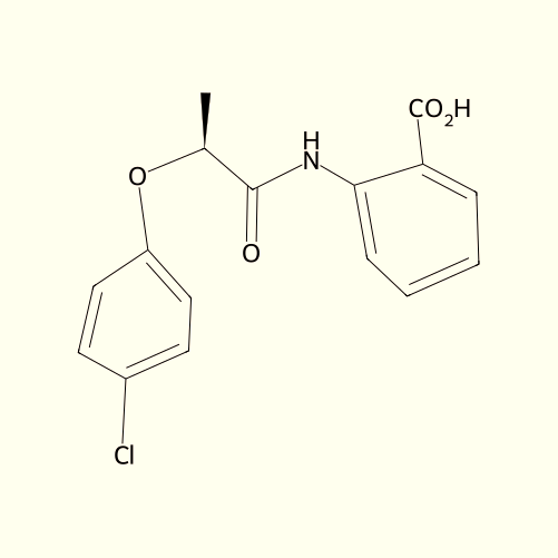 C[C@H](Oc1ccc(Cl)cc1)C(=O)Nc1ccccc1C(=O)O